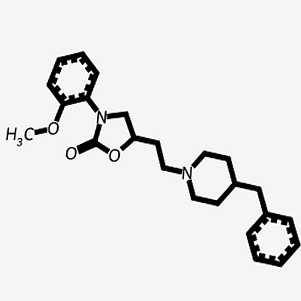 COc1ccccc1N1CC(CCN2CCC(Cc3ccccc3)CC2)OC1=O